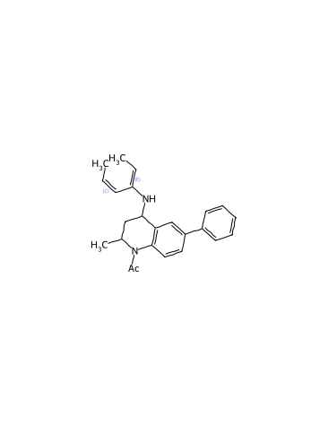 C/C=C\C(=C/C)NC1CC(C)N(C(C)=O)c2ccc(-c3ccccc3)cc21